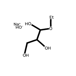 CCOC(O)C(O)CO.[Na+].[OH-]